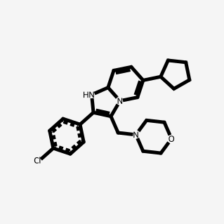 Clc1ccc(C2=C(CN3CCOCC3)N3C=C(C4CCCC4)C=CC3N2)cc1